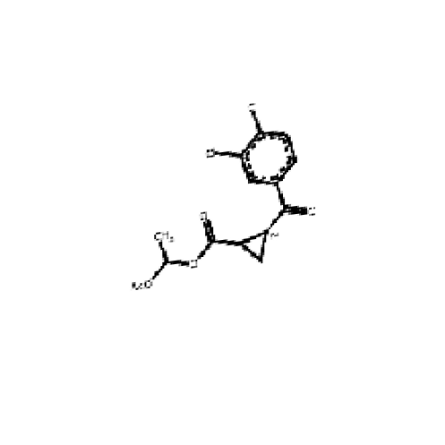 CC(=O)OC(C)OC(=O)C1C[C@@H]1C(=O)c1ccc(Cl)c(Cl)c1